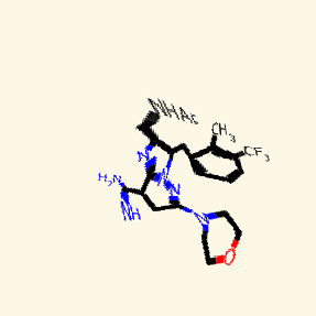 CC(=O)NCc1nc2c(C(=N)N)cc(N3CCOCC3)nn2c1Cc1cccc(C(F)(F)F)c1C